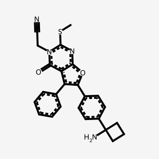 CSc1nc2oc(-c3ccc(C4(N)CCC4)cc3)c(-c3ccccc3)c2c(=O)n1CC#N